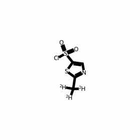 [2H]C([2H])([2H])c1ncc(S(=O)(=O)Cl)s1